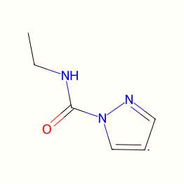 CCNC(=O)n1c[c]cn1